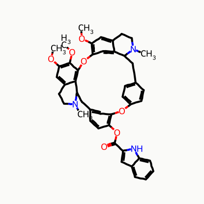 COc1cc2c3cc1Oc1c(OC)c(OC)cc4c1C(Cc1ccc(OC(=O)c5cc6ccccc6[nH]5)c(c1)Oc1ccc(cc1)CC3N(C)CC2)N(C)CC4